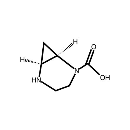 O=C(O)N1CCN[C@H]2C[C@H]21